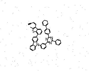 C#C/C=C\c1c(C)sc2c(-c3ccc4c5ccccc5n(-c5cccc(-c6nc(-c7ccccc7)nc(-c7ccc(C8=CCCC=C8)cc7)n6)c5)c4c3)cccc12